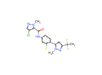 Cn1nc(C(C)(F)F)cc1-c1ccc(NC(=O)c2c(Cl)cnn2C)cc1F